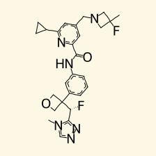 Cn1cnnc1[C@@H](F)C1(c2cccc(NC(=O)c3cc(CN4CC(C)(F)C4)cc(C4CC4)n3)c2)COC1